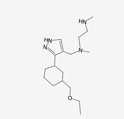 CCOCC1CCCC(c2n[nH]cc2CN(C)CCNC)C1